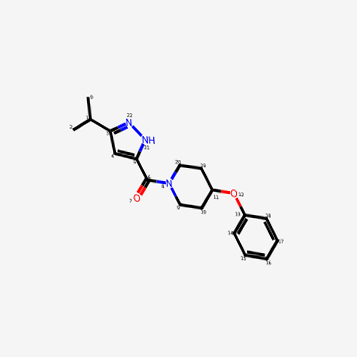 CC(C)c1cc(C(=O)N2CCC(Oc3ccccc3)CC2)[nH]n1